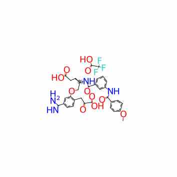 COc1ccc(C(=O)Nc2cccc(C(=O)N[C@H](CCC(=O)O)COc3cc(C(=N)N)ccc3CC(=O)C(=O)O)c2)cc1.O=C(O)C(F)(F)F